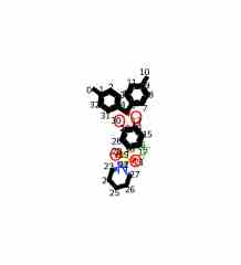 Cc1ccc(C2(c3ccc(C)cc3)Oc3cc(F)c(S(=O)(=O)N4CCCCC4)cc3O2)cc1